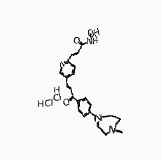 CN1CCN(c2ccc(C(=O)C=Cc3ccc(C=CC(=O)NO)nc3)cc2)CC1.Cl.Cl